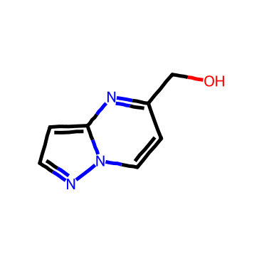 OCc1ccn2nccc2n1